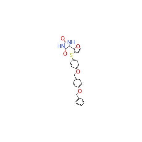 O=C1NC(=O)C(c2occc2Sc2ccc(OCc3ccc(OCc4ccccc4)cc3)cc2)N1